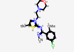 COc1ccc(Cl)cc1C(/N=c1\sc(C(C)(C)C)cn1CCN1CCOCC1)=N\C#N